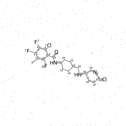 Cc1c(F)c(F)c(Cl)c(C(=O)NC2CCC(CNc3ccc(Cl)nc3)CC2)c1F